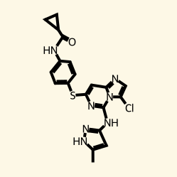 Cc1cc(Nc2nc(Sc3ccc(NC(=O)C4CC4)cc3)cc3ncc(Cl)n23)n[nH]1